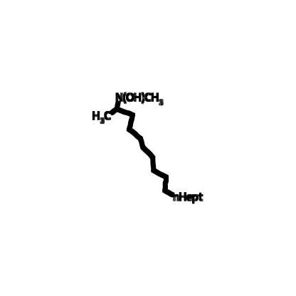 CCCCCCCCCCCCCCCC(C)N(C)O